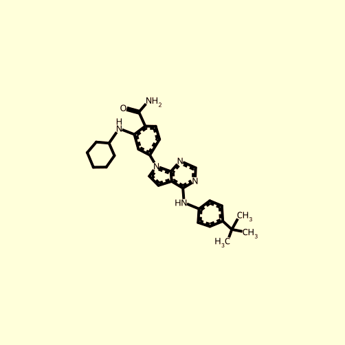 CC(C)(C)c1ccc(Nc2ncnc3c2ccn3-c2ccc(C(N)=O)c(NC3CCCCC3)c2)cc1